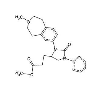 COC(=O)CCC1CN(c2ccccc2)C(=O)N1c1ccc2c(c1)CCN(C)CC2